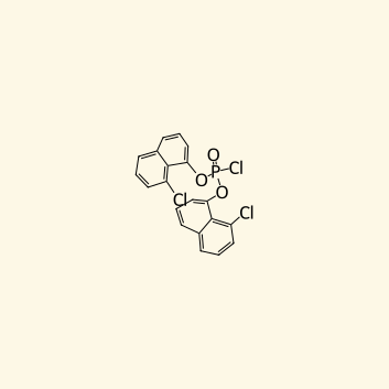 O=P(Cl)(Oc1cccc2cccc(Cl)c12)Oc1cccc2cccc(Cl)c12